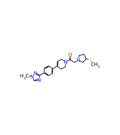 CSC1CCN(CC(=O)N2CC=C(c3ccc(-c4ncn(C)n4)cc3)CC2)C1